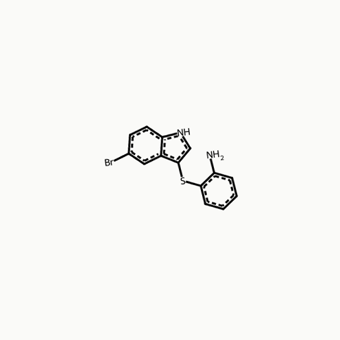 Nc1ccccc1Sc1c[nH]c2ccc(Br)cc12